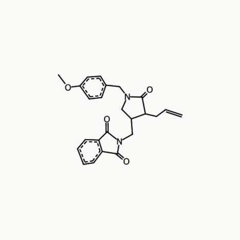 C=CCC1C(=O)N(Cc2ccc(OC)cc2)CC1CN1C(=O)c2ccccc2C1=O